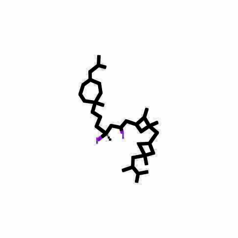 CC(C)CC1CCCC(C)(CCC[C@](C)(I)CC(I)CC2CC(C)(CC3CC(C)(CC(C)C(C)C)C3)C2C)CC1